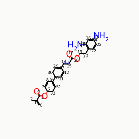 C=C(C)C(=O)OC1C=CC(C2C=CC(/C=C/C(=O)OCCc3ccc(N)cc3N)=CC2)=CC1